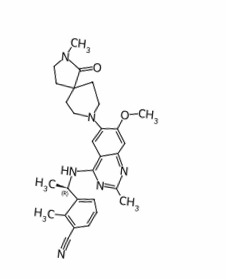 COc1cc2nc(C)nc(N[C@H](C)c3cccc(C#N)c3C)c2cc1N1CCC2(CCN(C)C2=O)CC1